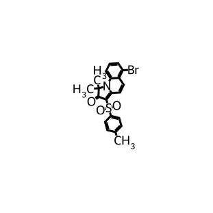 Cc1ccc(S(=O)(=O)C2=C3C=Cc4c(Br)cccc4N3C(C)(C)C2=O)cc1